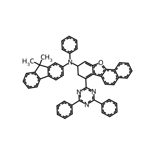 CC1(C)c2ccccc2-c2ccc(N(c3ccccc3)C3C=c4oc5c(ccc6ccccc65)c4=C(c4nc(-c5ccccc5)nc(-c5ccccc5)n4)C3)cc21